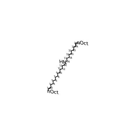 CCCCCCCCC=CCCCCCCCCCCCCNCCCCCCCCC=CCCCCCCCC